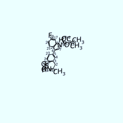 CC1Cc2cc(-c3cn(C(=O)OC(C)(C)C)c4cc(F)ccc34)ccc2S(=O)(=O)N1